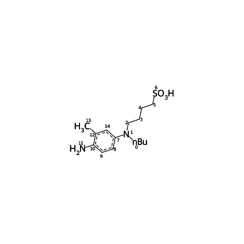 CCCCN(CCCCS(=O)(=O)O)c1ccc(N)c(C)c1